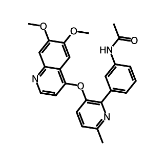 COc1cc2nccc(Oc3ccc(C)nc3-c3cccc(NC(C)=O)c3)c2cc1OC